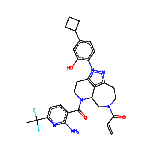 C=CC(=O)N1CCc2nn(-c3ccc(C4CCC4)cc3O)c3c2C(C1)N(C(=O)c1ccc(C(C)(F)F)nc1N)CC3